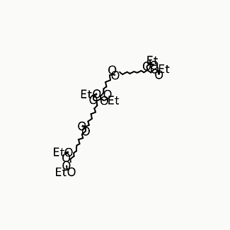 CCC(=O)OCC(CCCCCCCCOC(=O)CCCCCCCC(OC(=O)CC)C(CCCCCCCC(=O)OCCCCCCCCC(COC(=O)CC)OC(=O)CC)OC(=O)CC)OC(=O)CC